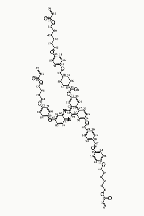 C=CC(=O)OCCCCCCOc1ccc(OCc2ccc(COc3ccc4c5ccc(OC(=O)C6CCC(COc7ccc(OCCCCCCOC(=O)C=C)cc7)CC6)cc5c5nc6cc(Oc7ccc(OCCCCOC(=O)C=C)cc7)ccc6nc5c4c3)cc2)cc1